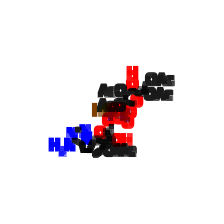 C#C[C@@]1(OC)[C@H](O)[C@@H](COP(=O)(S)OP(=O)(O)OC2OC([C@H](COC(C)=O)OC(C)=O)C(O)C(OC(C)=O)C2OC(C)=O)O[C@H]1c1ccc2c(N)ncnn12